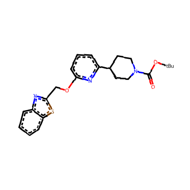 CC(C)(C)OC(=O)N1CCC(c2cccc(OCc3nc4ccccc4s3)n2)CC1